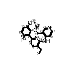 CCc1cnc(-c2cc(Cl)ccc2F)nc1Nc1ccncc1COOC